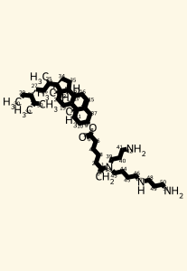 C=C(CCCCC(=O)O[C@H]1CC[C@@]2(C)C(=CC[C@@H]3C2CC[C@]2(C)[C@@H]([C@H](C)CC[C@@H](CC)C(C)C)CC[C@@H]32)C1)N(CCCN)CCCCNCCCN